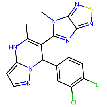 CC1=C(c2nc3nsnc3n2C)C(c2ccc(Cl)c(Cl)c2)n2nccc2N1